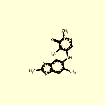 Cc1nc2cc(C)c(Nc3cnn(C)c(=O)c3C)cc2s1